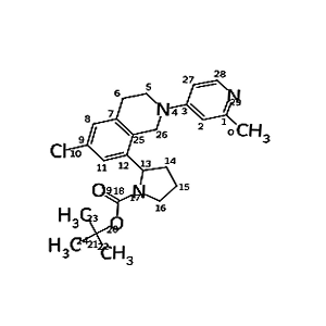 Cc1cc(N2CCc3cc(Cl)cc(C4CCCN4C(=O)OC(C)(C)C)c3C2)ccn1